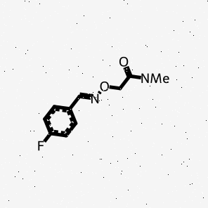 CNC(=O)CO/N=C/c1ccc(F)cc1